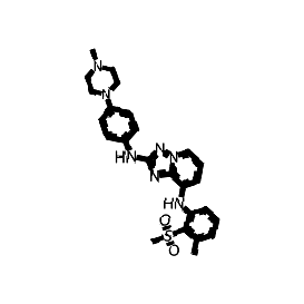 Cc1cccc(Nc2cccn3nc(Nc4ccc(N5CCN(C)CC5)cc4)nc23)c1S(C)(=O)=O